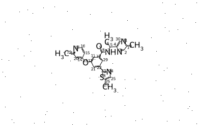 Cc1cnc(C(C)NC(=O)c2cc(Oc3ccnc(C)c3)cc(-c3ncc(C)s3)c2)cn1